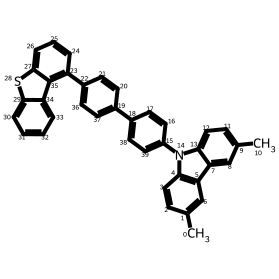 Cc1ccc2c(c1)c1cc(C)ccc1n2-c1ccc(-c2ccc(-c3cccc4sc5ccccc5c34)cc2)cc1